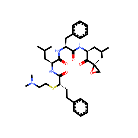 CC(C)C[C@H](NC(=O)[C@H](CCc1ccccc1)SCCN(C)C)C(=O)N[C@@H](Cc1ccccc1)C(=O)N[C@@H](CC(C)C)C(=O)[C@@]1(C)CO1